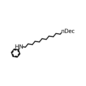 CCCCCCCCCCCCCCCCCCCCCNc1ccccc1